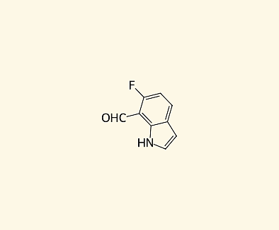 O=Cc1c(F)ccc2cc[nH]c12